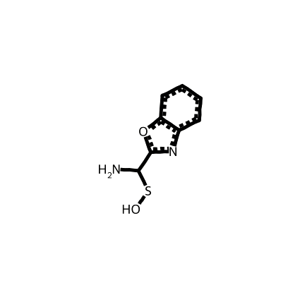 NC(SO)c1nc2ccccc2o1